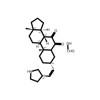 C[C@@]12CCC[C@H]1[C@@H]1C(=O)C(=O)C3C[C@H](/C=C\[C@H]4CCNC4)CC[C@]3(C)[C@H]1CC2.O=CO